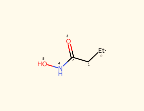 C[CH]CC(=O)NO